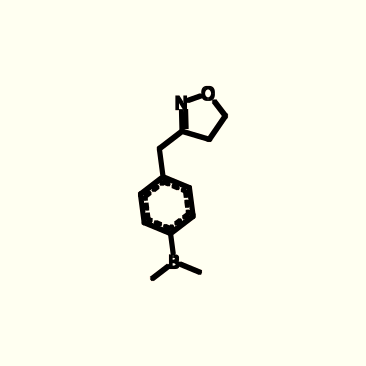 CB(C)c1ccc(CC2=NOCC2)cc1